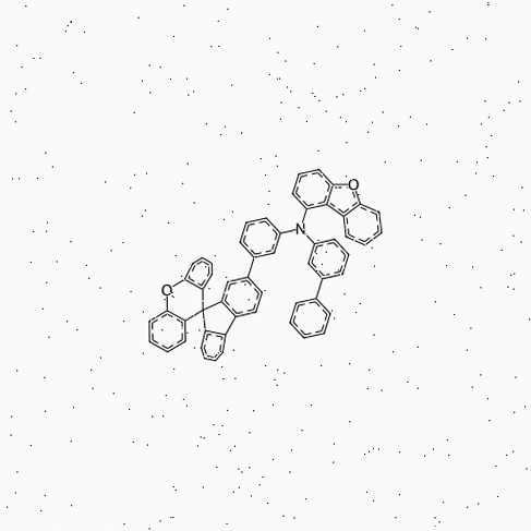 c1ccc(-c2cccc(N(c3cccc(-c4ccc5c(c4)C4(c6ccccc6Oc6ccccc64)c4ccccc4-5)c3)c3cccc4oc5ccccc5c34)c2)cc1